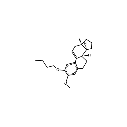 CCCCOc1cc2c(cc1OC)CC[C@@H]1C2=CC[C@]2(C)CCC[C@@H]12